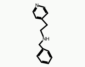 [c]1cc(CCNCc2ccccc2)ccn1